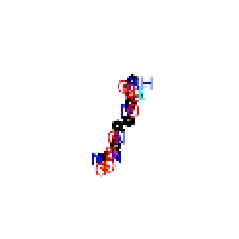 Cc1c(-c2nc3cc(CN(C)C)c(OCc4cncc(S(C)(=O)=O)c4)cc3o2)cccc1-c1cccc(-c2nc3cc(COC(=O)[C@@H]4CCCN4)c(OC(F)F)cc3o2)c1C